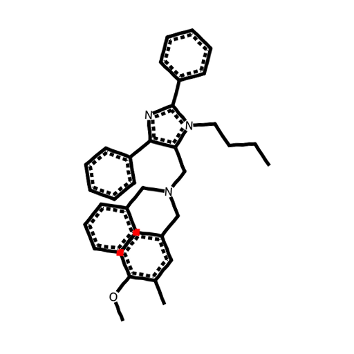 CCCCn1c(-c2ccccc2)nc(-c2ccccc2)c1CN(Cc1ccccc1)Cc1ccc(OC)c(C)c1